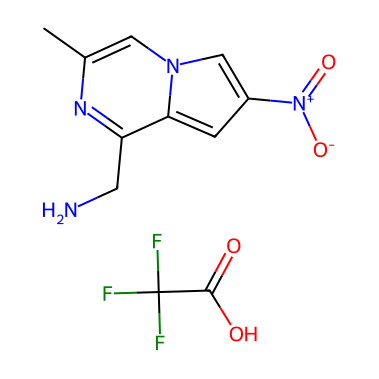 Cc1cn2cc([N+](=O)[O-])cc2c(CN)n1.O=C(O)C(F)(F)F